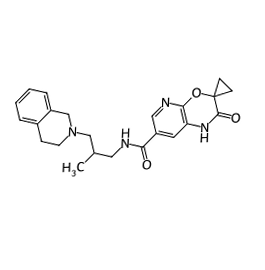 CC(CNC(=O)c1cnc2c(c1)NC(=O)C1(CC1)O2)CN1CCc2ccccc2C1